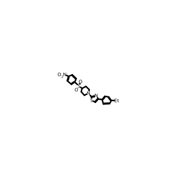 CCc1ccc(-c2csc(N3CCC(S(=O)(=O)c4ccc([N+](=O)[O-])cc4)CC3)n2)cc1